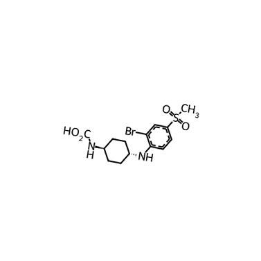 CS(=O)(=O)c1ccc(N[C@H]2CC[C@H](NC(=O)O)CC2)c(Br)c1